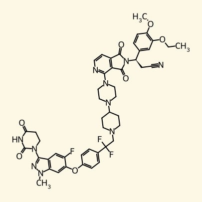 CCOc1cc([C@@H](CC#N)N2C(=O)c3ccnc(N4CCN(C5CCN(CC(F)(F)c6ccc(Oc7cc8c(cc7F)c(N7CCC(=O)NC7=O)nn8C)cc6)CC5)CC4)c3C2=O)ccc1OC